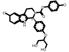 O=C(Oc1ccc(Cl)cc1)N1CCc2c([nH]c3c2=CC(Cl)CC=3)[C@@H]1c1ccc(OC(CO)CO)cc1